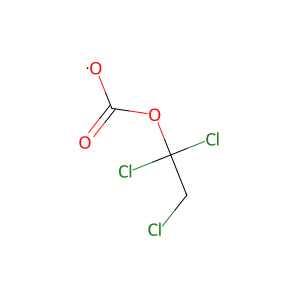 [O]C(=O)OC(Cl)(Cl)CCl